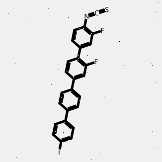 Fc1cc(-c2ccc(-c3ccc(-c4ccc(I)cc4)cc3)cc2F)ccc1N=C=S